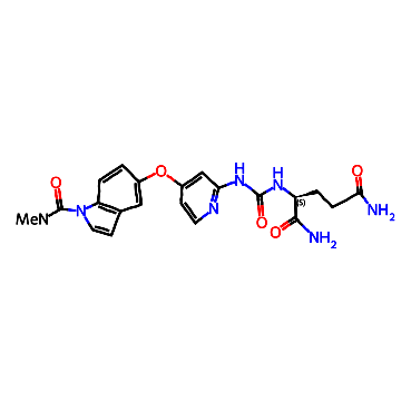 CNC(=O)n1ccc2cc(Oc3ccnc(NC(=O)N[C@@H](CCC(N)=O)C(N)=O)c3)ccc21